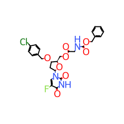 O=C(CNC(=O)OCc1ccccc1)OC[C@H]1O[C@@H](n2cc(F)c(=O)[nH]c2=O)C[C@@H]1OCc1ccc(Cl)cc1